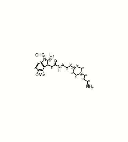 COc1ccc2c(c1)c(CC(=O)NCCCN1CCN(CCCN)CC1)c(C)n2C=O